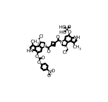 Cc1c[nH]c2c(OC(=O)Oc3ccc([N+](=O)[O-])cc3)cc3c(c12)[C@H](CCl)CN3C(=O)C12CC(C(=O)N3C[C@@H](CCl)c4c3cc(OP(=O)(O)O)c3[nH]cc(C)c43)(C1)C2